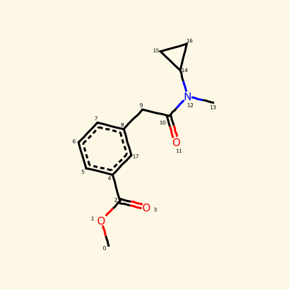 COC(=O)c1cccc(CC(=O)N(C)C2CC2)c1